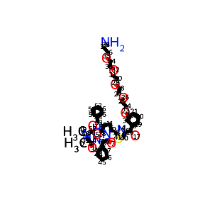 C[C@@H](C(=O)N[C@H](C(=O)N1CCC[C@H]1c1nc(C(=O)c2cccc(OCCOCCOCCOCCOCCN)c2)cs1)C1CCCCC1)N(C)C(=O)OCc1ccccc1